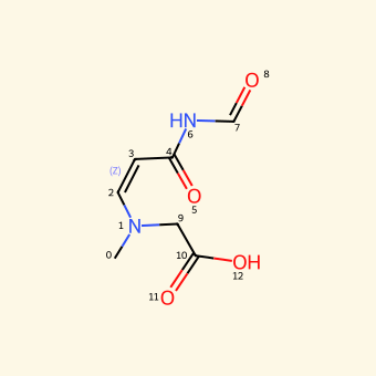 CN(/C=C\C(=O)NC=O)CC(=O)O